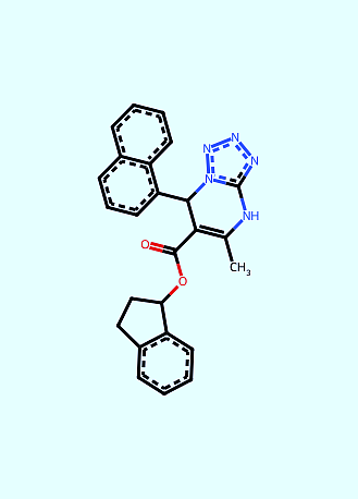 CC1=C(C(=O)OC2CCc3ccccc32)C(c2cccc3ccccc23)n2nnnc2N1